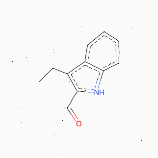 CCc1c([C]=O)[nH]c2ccccc12